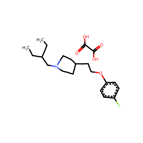 CCC(CC)CN1CCC(CCOc2ccc(F)cc2)CC1.O=C(O)C(=O)O